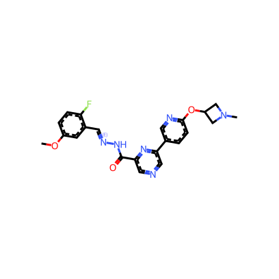 COc1ccc(F)c(/C=N/NC(=O)c2cncc(-c3ccc(OC4CN(C)C4)nc3)n2)c1